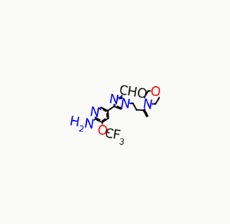 C=C(CCn1cc(-c2cnc(N)c(OC(F)(F)F)c2)nc1C=O)N1CCOCC1